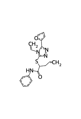 C=CCC(Sc1nnc(-c2ccco2)n1C=C)C(=O)Nc1ccccc1